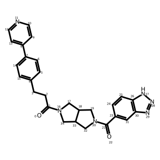 O=C(CCc1ccc(-c2ccncc2)cc1)N1CC2CN(C(=O)c3ccc4[nH]nnc4c3)CC2C1